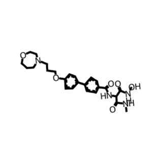 CNC(=O)C(NC(=O)c1ccc(-c2ccc(OCCCN3CCCOCC3)cc2)cc1)C(=O)NO